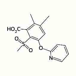 Cc1cc(Oc2ccccn2)c(S(C)(=O)=O)c(C(=O)O)c1C